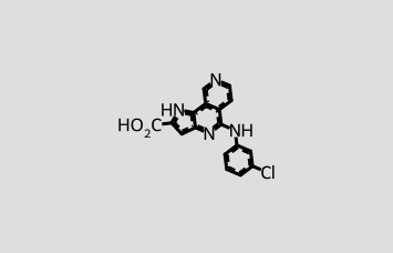 O=C(O)c1cc2nc(Nc3cccc(Cl)c3)c3ccncc3c2[nH]1